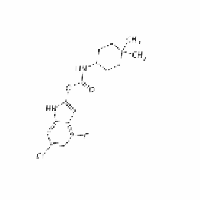 CC1(C)CCC(NC(=O)Oc2cc3c(Cl)cc(Cl)cc3[nH]2)CC1